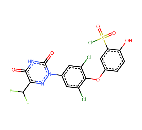 O=c1[nH]c(=O)n(-c2cc(Cl)c(Oc3ccc(O)c(S(=O)(=O)Cl)c3)c(Cl)c2)nc1C(F)F